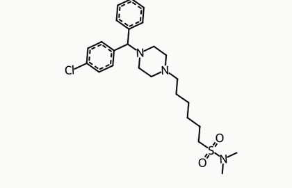 CN(C)S(=O)(=O)CCCCCCN1CCN(C(c2ccccc2)c2ccc(Cl)cc2)CC1